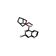 FCCN1C2CCC1CC(Nc1nc(Cl)cc3ncccc13)C2